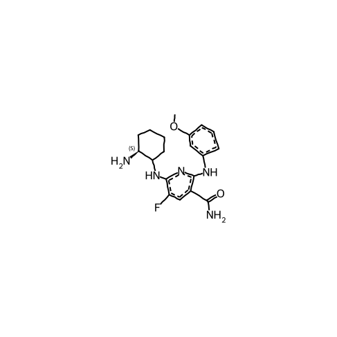 COc1cccc(Nc2nc(NC3CCCC[C@@H]3N)c(F)cc2C(N)=O)c1